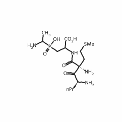 CCC[C@H](N)C(=O)[C@](N)(CCSC)C(=O)NC(CP(=O)(O)C(C)N)C(=O)O